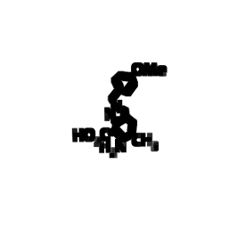 COc1ccc(Cn2cc3cc(C)c(N)c(C(=O)O)c3n2)cc1